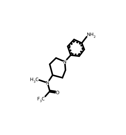 CN(C(=O)C(F)(F)F)C1CCN(c2ccc(N)cc2)CC1